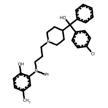 Cc1ccc(O)c(N(CCCN2CCC(C(O)(c3ccccc3)c3ccc(Cl)cc3)CC2)C(C)C)c1